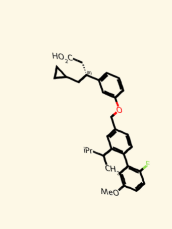 COc1ccc(F)c(-c2ccc(COc3cccc([C@@H](CC(=O)O)CC4CC4)c3)cc2C(C)C(C)C)c1